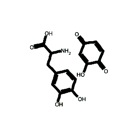 NC(Cc1ccc(O)c(O)c1)C(=O)O.O=C1C=CC(=O)C(O)=C1